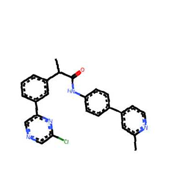 Cc1cc(-c2ccc(NC(=O)C(C)c3cccc(-c4cncc(Cl)n4)c3)cc2)ccn1